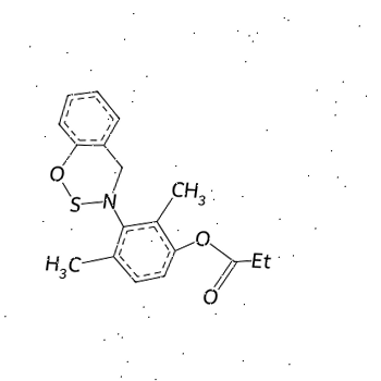 CCC(=O)Oc1ccc(C)c(N2Cc3ccccc3OS2)c1C